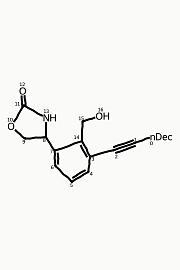 CCCCCCCCCCC#Cc1cccc(C2COC(=O)N2)c1CO